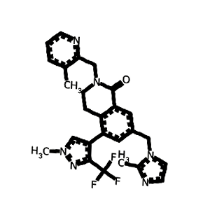 Cc1cccnc1CN1CCc2c(cc(Cn3ccnc3C)cc2-c2cn(C)nc2C(F)(F)F)C1=O